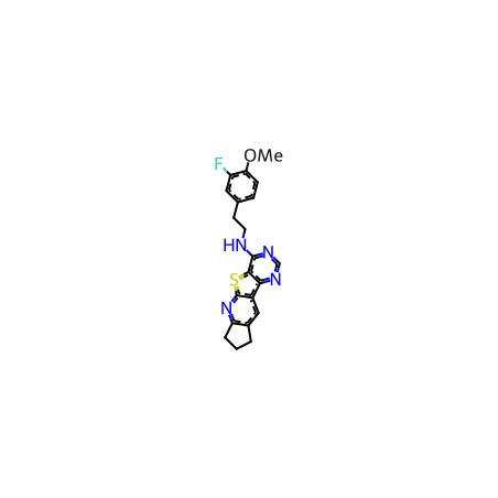 COc1ccc(CCNc2ncnc3c2sc2nc4c(cc23)CCC4)cc1F